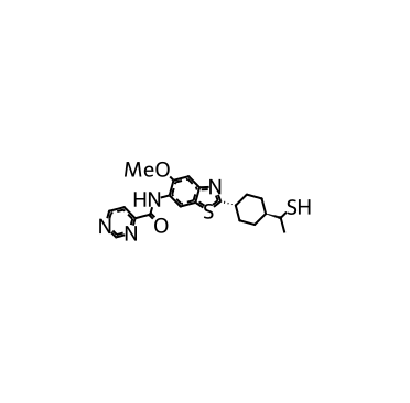 COc1cc2nc([C@H]3CC[C@H](C(C)S)CC3)sc2cc1NC(=O)c1ccncn1